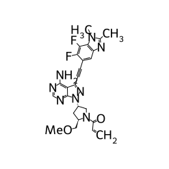 C=CC(=O)N1C[C@@H](n2nc(C#Cc3cc4nc(C)n(C)c4c(F)c3F)c3c(N)ncnc32)C[C@@H]1COC